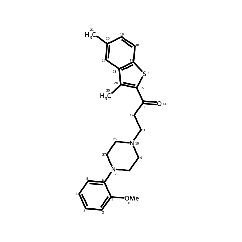 COc1ccccc1N1CCN(CCC(=O)c2sc3ccc(C)cc3c2C)CC1